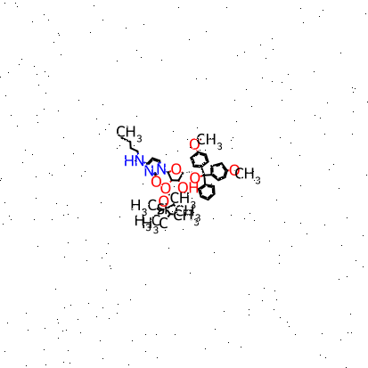 CCCCCNc1ccn([C@@H]2O[C@H](COC(c3ccccc3)(c3ccc(OC)cc3)c3ccc(OC)cc3)[C@@H](O)[C@H]2OCO[Si](C(C)C)(C(C)C)C(C)C)c(=O)n1